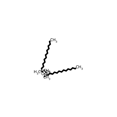 CCCCCCCCCCCCCC[N+](C)(C)O[N+](C)(C)CCCCCCCCCCCCCC